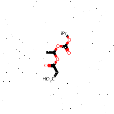 CC(C)OC(=O)OC(C)OC(=O)CC(=O)O